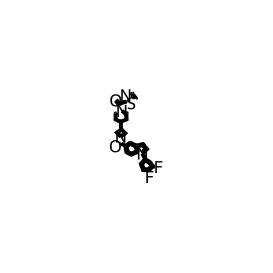 O=C(c1ccc2c(ccn2-c2ccc(F)c(F)c2)c1)N1CC(C2CCN(C(=O)c3nccs3)CC2)C1